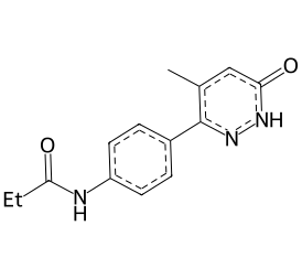 CCC(=O)Nc1ccc(-c2n[nH]c(=O)cc2C)cc1